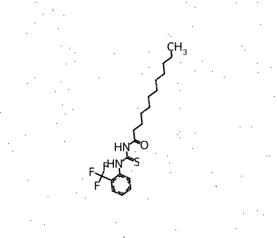 CCCCCCCCCCCC(=O)NC(=S)Nc1ccccc1C(F)(F)F